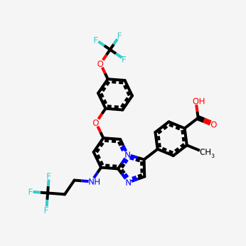 Cc1cc(-c2cnc3c(NCCC(F)(F)F)cc(Oc4cccc(OC(F)(F)F)c4)cn23)ccc1C(=O)O